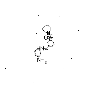 Nc1cccc(NC(=O)c2cccc(S(=O)(=O)N3CCCCCC3)c2)c1